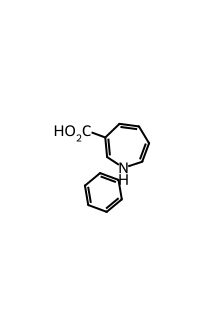 O=C(O)C1=CNC=CC=C1.c1ccccc1